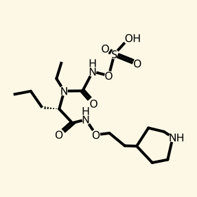 CCC[C@@H](C(=O)NOCCC1CCNCC1)N(CC)C(=O)NOS(=O)(=O)O